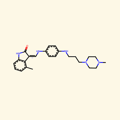 Cc1cccc2c1/C(=C/Nc1ccc(NCCCN3CCN(C)CC3)cc1)C(=O)N2